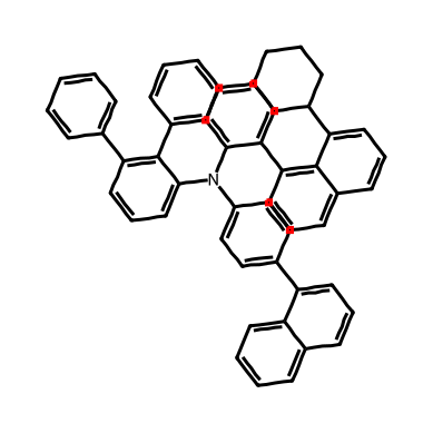 c1ccc(-c2cccc(N(c3ccc(-c4cccc5ccccc45)cc3)c3ccccc3-c3cccc4cccc(C5CCCCC5)c34)c2-c2ccccc2)cc1